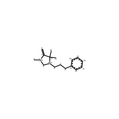 C=C1N(C)CN(CCCc2ccccc2)C1(C)C